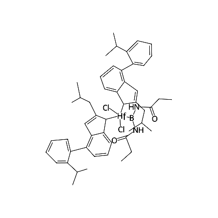 CCC(=O)N[B](NC(=O)CC)[Hf]([Cl])([Cl])([CH]1C(CC(C)C)=Cc2c(-c3ccccc3C(C)C)cccc21)[CH]1C(CC(C)C)=Cc2c(-c3ccccc3C(C)C)cccc21